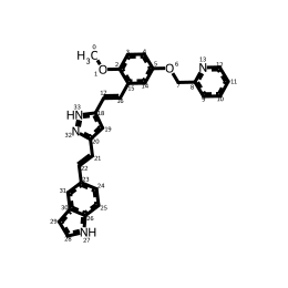 COc1ccc(OCc2ccccn2)cc1C=Cc1cc(C=Cc2ccc3[nH]ccc3c2)n[nH]1